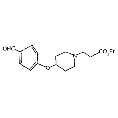 CCOC(=O)CCN1CCC(Oc2ccc(C=O)cc2)CC1